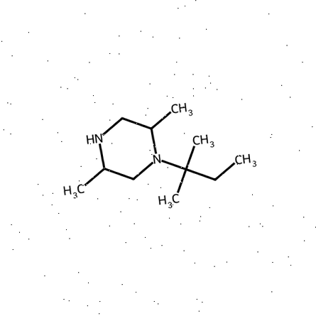 CCC(C)(C)N1CC(C)NCC1C